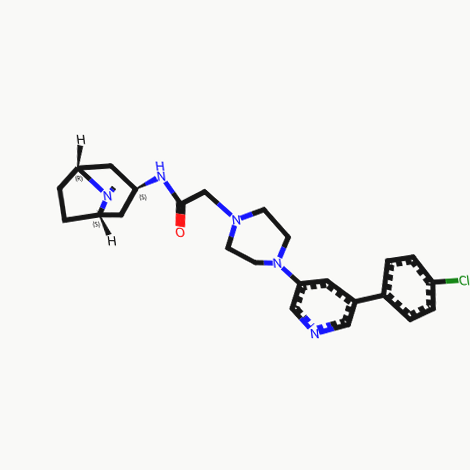 CN1[C@@H]2CC[C@H]1C[C@H](NC(=O)CN1CCN(c3cncc(-c4ccc(Cl)cc4)c3)CC1)C2